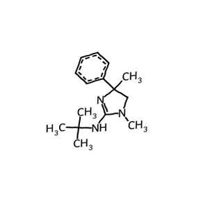 CN1CC(C)(c2ccccc2)N=C1NC(C)(C)C